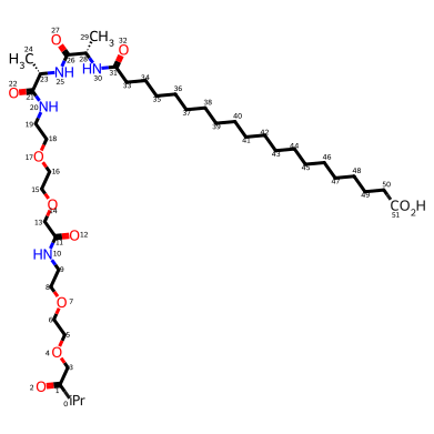 CC(C)C(=O)COCCOCCNC(=O)COCCOCCNC(=O)[C@H](C)NC(=O)[C@H](C)NC(=O)CCCCCCCCCCCCCCCCCCC(=O)O